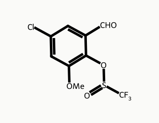 COc1cc(Cl)cc(C=O)c1OS(=O)C(F)(F)F